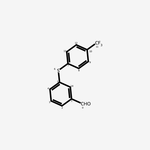 O=Cc1cccc(Sc2ccc(C(F)(F)F)cc2)c1